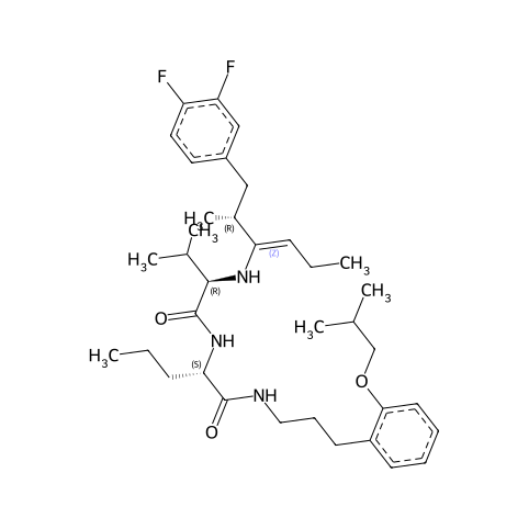 CC/C=C(\N[C@@H](C(=O)N[C@@H](CCC)C(=O)NCCCc1ccccc1OCC(C)C)C(C)C)[C@H](C)Cc1ccc(F)c(F)c1